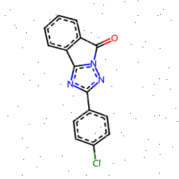 O=C1c2ccccc2-c2nc(-c3ccc(Cl)cc3)nn21